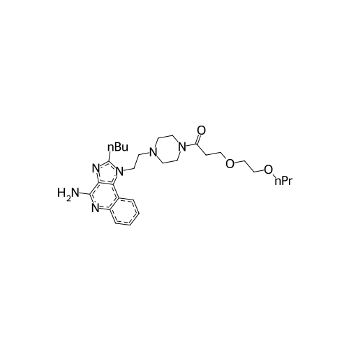 CCCCc1nc2c(N)nc3ccccc3c2n1CCN1CCN(C(=O)CCOCCOCCC)CC1